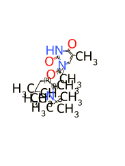 Cc1cn([C@@H](C)O[C@H](CC(C)(C)C)[C@@H](C)N(C)C(C)(C)C)c(=O)[nH]c1=O